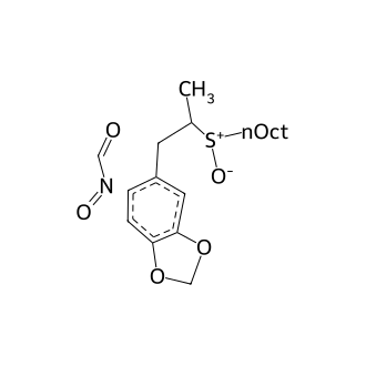 CCCCCCCC[S+]([O-])C(C)Cc1ccc2c(c1)OCO2.O=CN=O